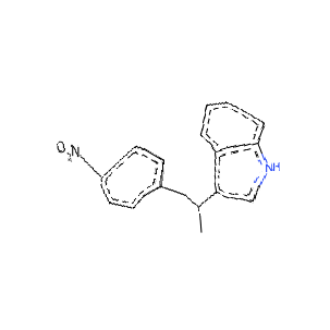 CC(c1ccc([N+](=O)[O-])cc1)c1c[nH]c2ccccc12